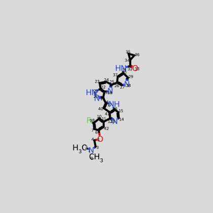 CN(C)CCOc1cc(F)cc(-c2nccc3[nH]c(-c4n[nH]c5ccc(-c6cncc(NC(=O)C7CC7)c6)nc45)cc23)c1